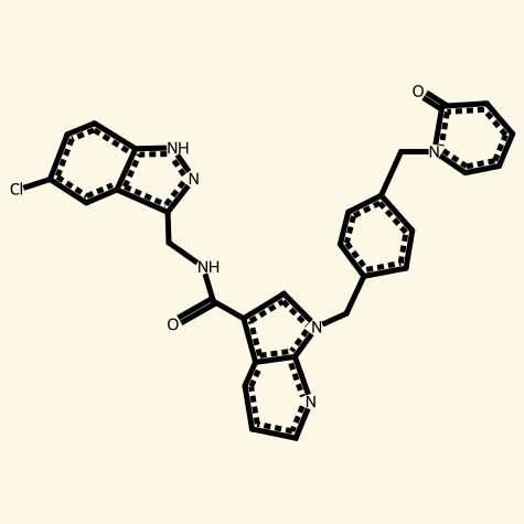 O=C(NCc1n[nH]c2ccc(Cl)cc12)c1cn(Cc2ccc(Cn3ccccc3=O)cc2)c2ncccc12